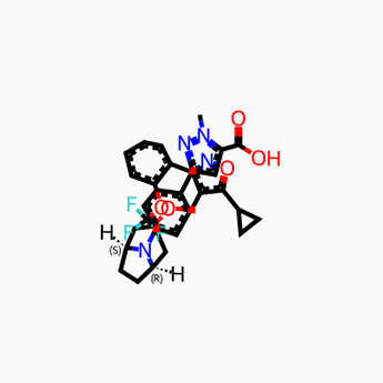 Cn1nc(-c2ccc(N3[C@@H]4CC[C@H]3C[C@@H](OCc3c(-c5ccccc5OC(F)(F)F)noc3C3CC3)C4)cc2)cc1C(=O)O